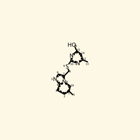 Cc1ccc2ncc(CSc3nc(C)cc(O)n3)n2c1